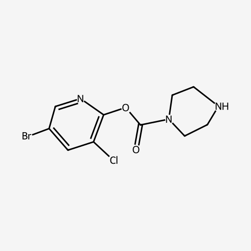 O=C(Oc1ncc(Br)cc1Cl)N1CCNCC1